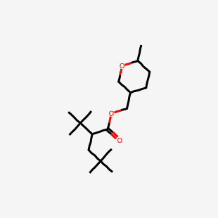 CC1CCC(COC(=O)C(CC(C)(C)C)C(C)(C)C)CO1